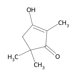 CC1=C(O)CC(C)(C)C1=O